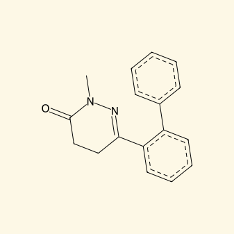 CN1N=C(c2ccccc2-c2ccccc2)CCC1=O